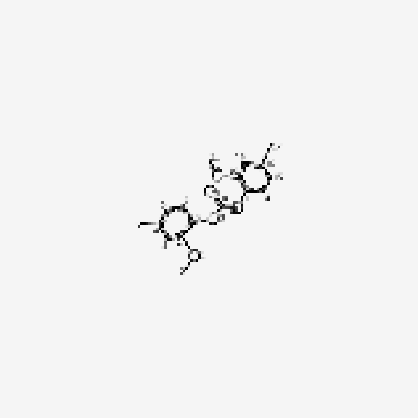 COc1cc(C)ccc1OC(=O)Oc1ccc(C)cc1OC